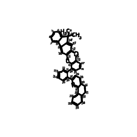 CC1(C)c2ccccc2-c2cc3c(cc21)Oc1cccc(-c2ccccc2-c2ccc4ccc5ccccc5c4n2)c1O3